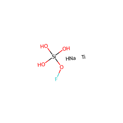 O[Si](O)(O)OF.[NaH].[Ti]